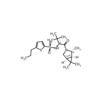 CCCc1ccc(S(=O)(=O)N[C@H](C(=O)N2C[C@H]3[C@@H]([C@H]2C)C3(C)C)C(C)(C)C)s1